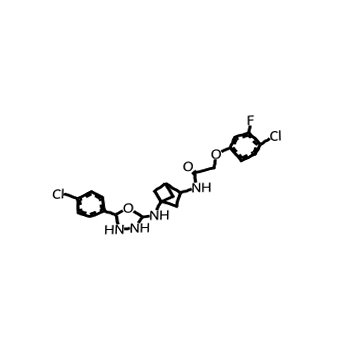 O=C(COc1ccc(Cl)c(F)c1)NC1CC2(NC3NNC(c4ccc(Cl)cc4)O3)CC1C2